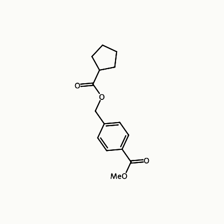 COC(=O)c1ccc(COC(=O)C2CCCC2)cc1